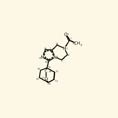 CC(=O)N1CCn2c(cnc2C23CCC(CC2)OC3)C1